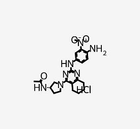 CC(=O)N[C@H]1CCN(c2nc(Nc3ccc(N)c([N+](=O)[O-])c3)nc3c2CCCC3)C1.Cl